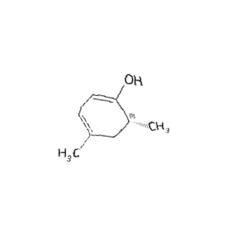 CC1=CC=C(O)[C@H](C)C1